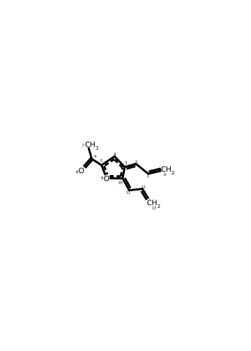 C=C/C=c1/cc(C(C)=O)o/c1=C/C=C